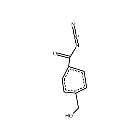 [N-]=[N+]=NC(=O)c1ccc(CO)cc1